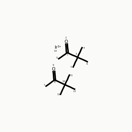 CC(=O)C(C)(C)C.CC(=O)C(C)(C)C.[Ir+3]